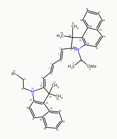 COC(C)[N+]1=C(/C=C/C=C/C=C2/N(CCC(C)C)c3ccc4ccccc4c3C2(C)C)C(C)(C)c2c1ccc1ccccc21